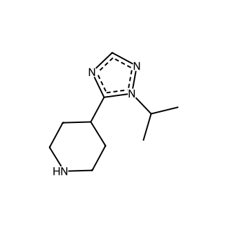 CC(C)n1ncnc1C1CCNCC1